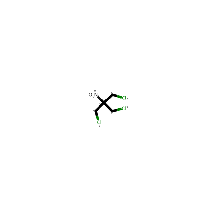 O=[N+]([O-])C(CCl)(CCl)CCl